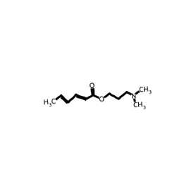 CC=CC=CC(=O)OCCCN(C)C